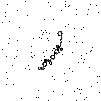 O=C(Nc1ccc(O)cc1)c1ccc(N2CCN(S(=O)(=O)CC=C/C=C/c3ccccc3)CC2)cc1